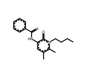 CCCCn1c(C)c(C)cc(NC(=S)c2ccccc2)c1=O